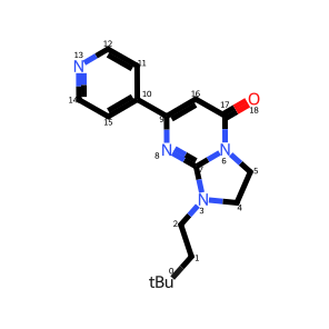 CC(C)(C)CCN1CCn2c1nc(-c1ccncc1)cc2=O